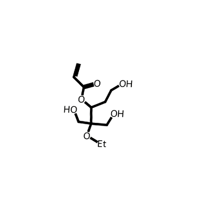 C=CC(=O)OC(CCO)C(CO)(CO)OCC